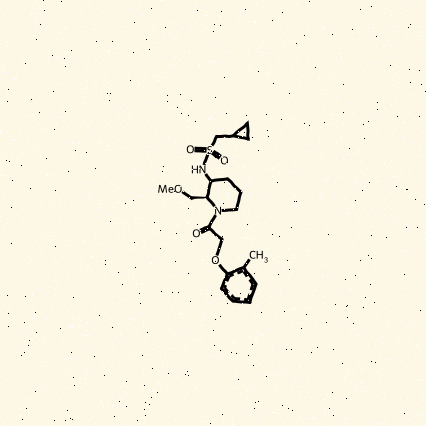 COC[C@H]1C(NS(=O)(=O)CC2CC2)CCCN1C(=O)COc1ccccc1C